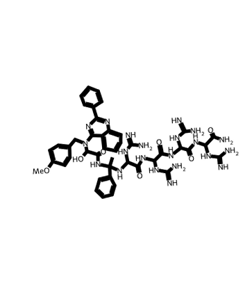 COc1ccc(CN(c2nc(-c3ccccc3)nc3ccccc23)C(O)C(=O)NC(C)(NC(NC(=N)N)C(=O)NC(NC(=N)N)C(=O)NC(NC(=N)N)C(=O)NC(NC(=N)N)C(N)=O)c2ccccc2)cc1